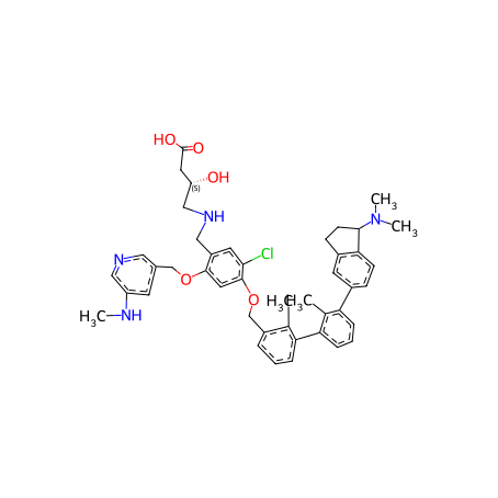 CNc1cncc(COc2cc(OCc3cccc(-c4cccc(-c5ccc6c(c5)CCC6N(C)C)c4C)c3C)c(Cl)cc2CNC[C@@H](O)CC(=O)O)c1